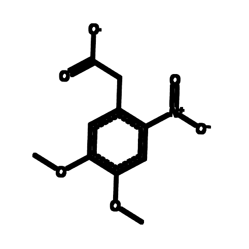 COc1cc(CC([O])=O)c([N+](=O)[O-])cc1OC